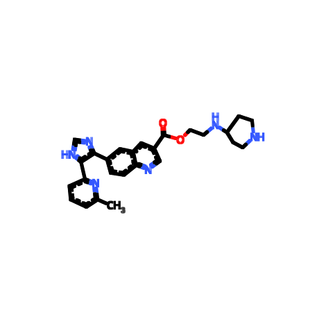 Cc1cccc(-c2[nH]cnc2-c2ccc3ncc(C(=O)OCCNC4CCNCC4)cc3c2)n1